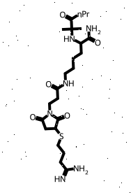 CCCC(=O)C(C)(C)NC(CCCCNC(=O)CCN1C(=O)CC(SCCCC(=N)N)C1=O)C(N)=O